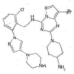 CC(C)c1cnn2c(NCc3c(Cl)cccc3-n3cc(N4CCNCC4)cn3)nc(N3CCC(N)CC3)nc12